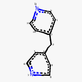 c1cc(Cc2ccncc2)ccn1